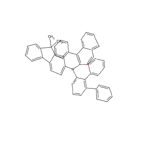 CC1(C)c2ccccc2-c2ccc(N(c3cccc(-c4ccccc4)c3-c3ccccc3)c3ccc4ccccc4c3-c3ccccc3)cc21